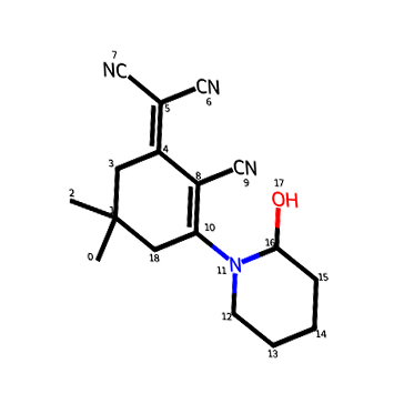 CC1(C)CC(=C(C#N)C#N)C(C#N)=C(N2CCCCC2O)C1